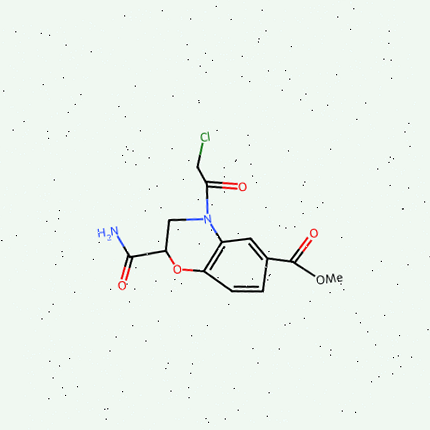 COC(=O)c1ccc2c(c1)N(C(=O)CCl)CC(C(N)=O)O2